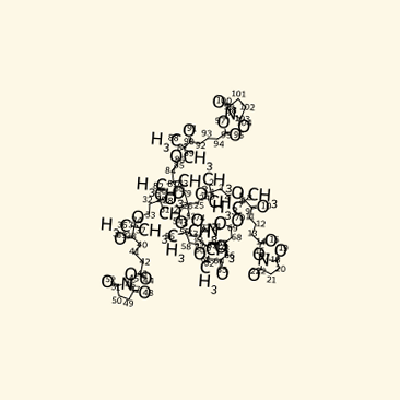 CC(C)(CCOC(C)(C)C(=O)CCCC(=O)ON1C(=O)CCC1=O)OCC(COC(C)(C)CCOC(C)(C)C(=O)CCCC(=O)ON1C(=O)CCC1=O)(COC(C)(C)CCOC(C)(C)C(=O)CCCC(=O)ON1C(=O)CCC1=O)COC(C)(C)CCOC(C)(C)C(=O)CCCC(=O)ON1C(=O)CCC1=O